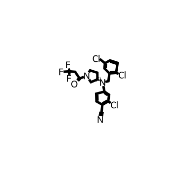 N#Cc1ccc(N(Cc2cc(Cl)ccc2Cl)[C@H]2CCN(C(=O)CC(F)(F)F)C2)cc1Cl